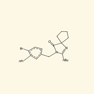 CCCCC1=NC2(CCCC2)C(=O)N1Cc1ccc(Br)c(CCC)c1